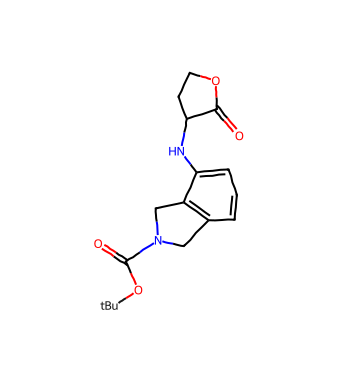 CC(C)(C)OC(=O)N1Cc2cccc(NC3CCOC3=O)c2C1